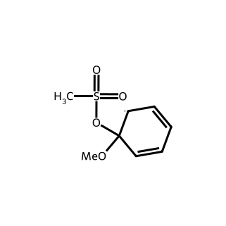 COC1(OS(C)(=O)=O)[CH]C=CC=C1